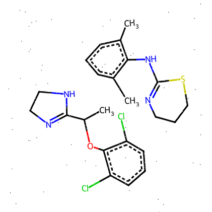 CC(Oc1c(Cl)cccc1Cl)C1=NCCN1.Cc1cccc(C)c1NC1=NCCCS1